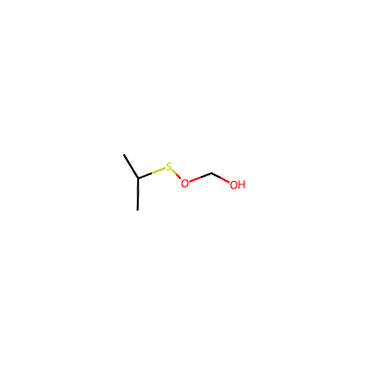 CC(C)SOCO